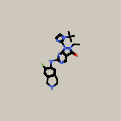 CCn1c(=O)c2cnc(Nc3cc4c(cc3F)CNCC4)nc2n1-c1nccn1C(C)(C)C